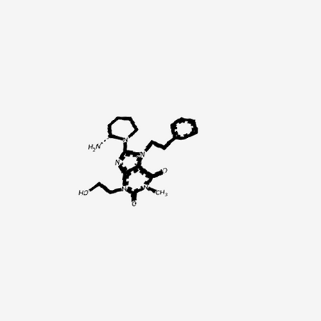 Cn1c(=O)c2c(nc(N3CCCC[C@H]3N)n2CCc2ccccc2)n(CCO)c1=O